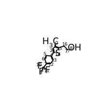 Cc1cc(-c2ccc(C(F)(F)F)cc2)sc1CCO